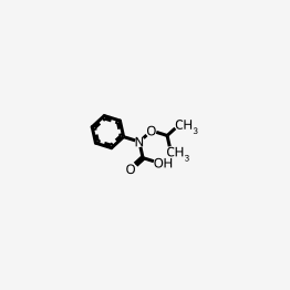 CC(C)ON(C(=O)O)c1ccccc1